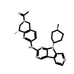 CC(=O)N1Cc2ccc(Nc3ncc4c5ccncc5n([C@H]5CC[C@H](C)CC5)c4n3)nc2[C@H](C)C1